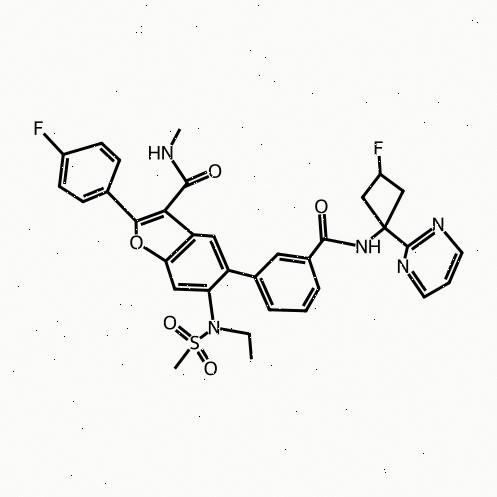 CCN(c1cc2oc(-c3ccc(F)cc3)c(C(=O)NC)c2cc1-c1cccc(C(=O)NC2(c3ncccn3)CC(F)C2)c1)S(C)(=O)=O